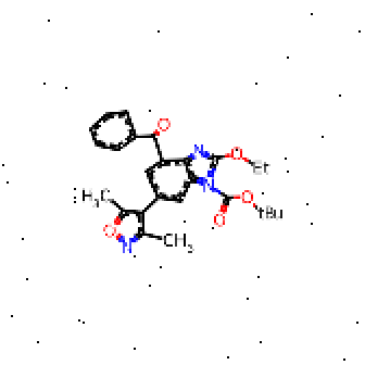 CCOc1nc2c(C(=O)c3ccccc3)cc(-c3c(C)noc3C)cc2n1C(=O)OC(C)(C)C